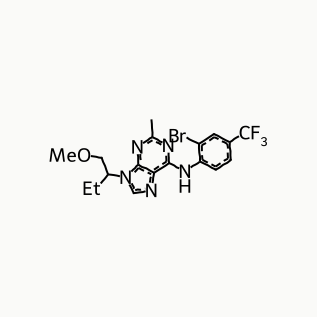 CCC(COC)n1cnc2c(Nc3ccc(C(F)(F)F)cc3Br)nc(C)nc21